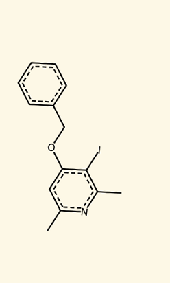 Cc1cc(OCc2ccccc2)c(I)c(C)n1